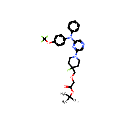 CC(C)(C)OC(=O)COCC1(F)CCN(c2cncc(N(c3ccccc3)c3ccc(OC(F)(F)F)cc3)n2)CC1